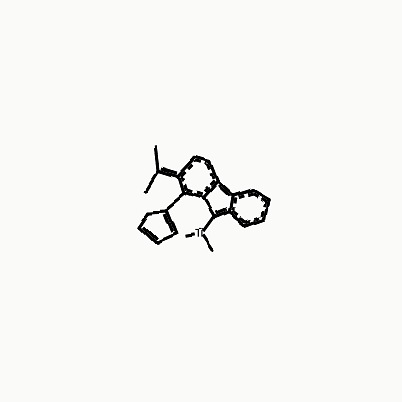 CC(C)=c1ccc2c(c1C1=CC=CC1)[C]([Ti]([CH3])[CH3])=c1ccccc1=2